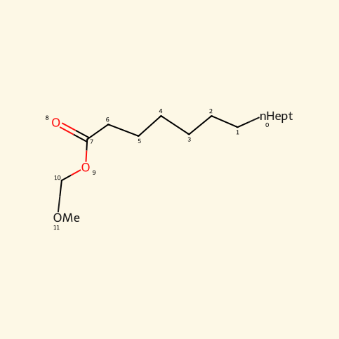 CCCCCCCCCCCCCC(=O)OCOC